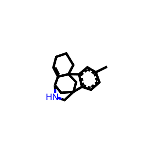 Cc1ccc2c(c1)C13CCCC=C1C1CC2(CN1)C3